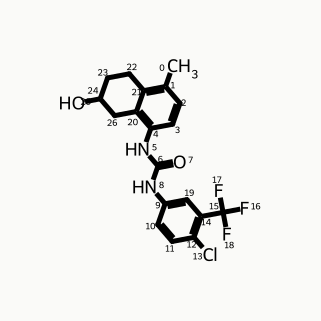 Cc1ccc(NC(=O)Nc2ccc(Cl)c(C(F)(F)F)c2)c2c1CCC(O)C2